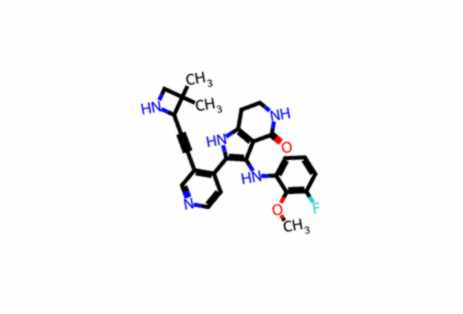 COc1c(F)cccc1Nc1c(-c2ccncc2C#CC2NCC2(C)C)[nH]c2c1C(=O)NCC2